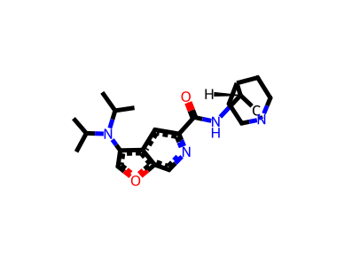 CC(C)N(c1coc2cnc(C(=O)N[C@H]3CN4CCC3CC4)cc12)C(C)C